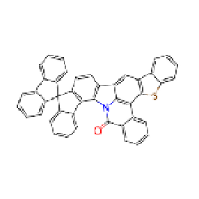 O=c1c2ccccc2c2c3sc4ccccc4c3cc3c4ccc5c(c4n1c32)-c1ccccc1C51c2ccccc2-c2ccccc21